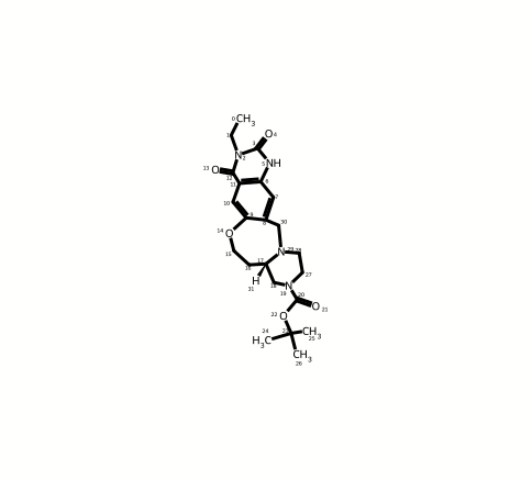 CCn1c(=O)[nH]c2cc3c(cc2c1=O)OCC[C@H]1CN(C(=O)OC(C)(C)C)CCN1C3